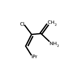 C=C(N)/C(Cl)=C\C(C)C